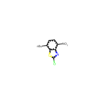 CCCCc1ccc([N+](=O)[O-])c2nc(Cl)sc12